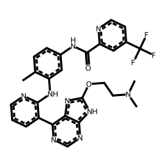 Cc1ccc(NC(=O)c2cc(C(F)(F)F)ccn2)cc1Nc1ncccc1-c1ncnc2[nH]c(OCCN(C)C)nc12